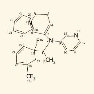 CC(N(c1cccnc1)c1cccnc1)C1(F)CC(C(F)(F)F)=CC=C1c1ccccc1